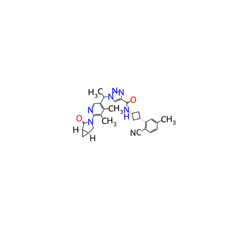 Cc1ccc(C#N)c([C@H]2C[C@@H](NC(=O)c3cn(C(C)c4cnc(N5C[C@H]6C[C@H]6C5=O)c(C)c4C)nn3)C2)c1